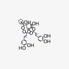 O=C(/C=C/c1ccc(O)c(O)c1)O[C@@H]1[C@H](O)CC(O)(C(=O)N2CCCC2)C[C@H]1OC(=O)/C=C/c1ccc(O)c(O)c1